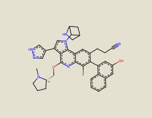 CN1CCC[C@H]1COc1nc2c(F)c(-c3cc(O)cc4ccccc34)c(CCC#N)cc2c2c1c(-c1cn[nH]c1)cn2C1C2CNC1C2